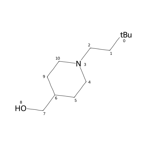 CC(C)(C)CCN1CCC(CO)CC1